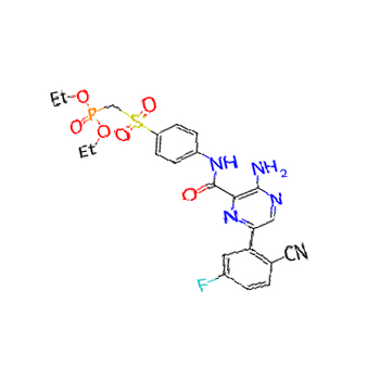 CCOP(=O)(CS(=O)(=O)c1ccc(NC(=O)c2nc(-c3cc(F)ccc3C#N)cnc2N)cc1)OCC